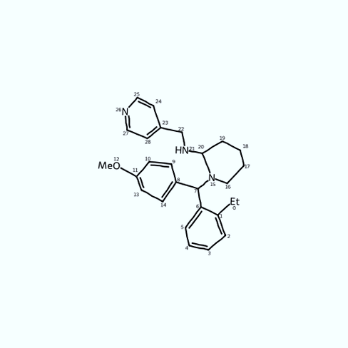 CCc1ccccc1C(c1ccc(OC)cc1)N1CCCCC1NCc1ccncc1